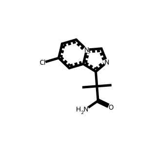 CC(C)(C(N)=O)c1ncn2ccc(Cl)cc12